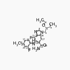 CCOC(CC)Cn1cnc2c(F)c(Nc3ccc(C)cc3F)c(C(N)=O)cc21